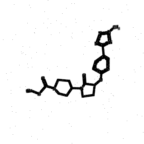 Cn1nnc(-c2ccc(OC3CCN(C4CCN(C(=O)OC(C)(C)C)CC4)C3=O)cc2)n1